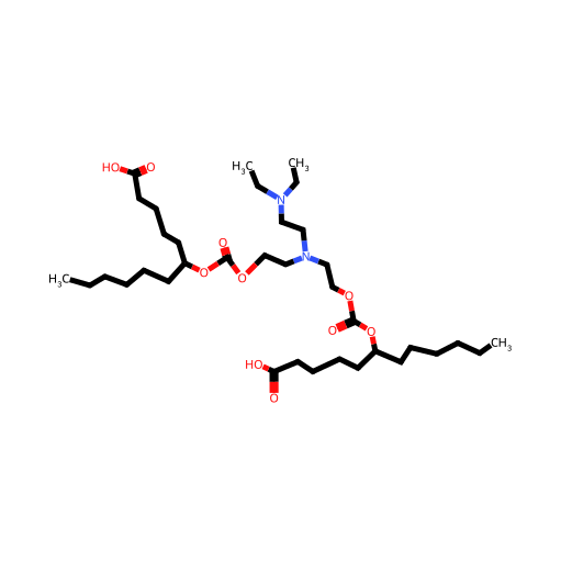 CCCCCCC(CCCCC(=O)O)OC(=O)OCCN(CCOC(=O)OC(CCCCCC)CCCCC(=O)O)CCN(CC)CC